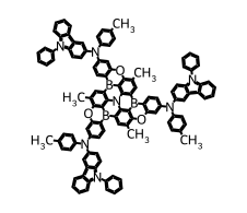 Cc1ccc(N(c2ccc3c(c2)Oc2c(C)cc4c5c2B3c2cc(C)c3c6c2N5c2c(cc(C)c5c2B4c2ccc(N(c4ccc(C)cc4)c4ccc7c(c4)c4ccccc4n7-c4ccccc4)cc2O5)B6c2ccc(N(c4ccc(C)cc4)c4ccc5c(c4)c4ccccc4n5-c4ccccc4)cc2O3)c2ccc3c(c2)c2ccccc2n3-c2ccccc2)cc1